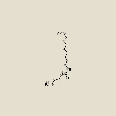 CCCCCCCCCCCCCCCCCNC(=O)OCCCO